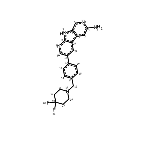 Nc1cc2c(cn1)[nH]c1ncc(-c3ccc(CN4CCC(F)(F)CC4)cc3)cc12